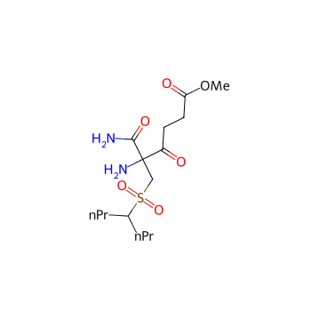 CCCC(CCC)S(=O)(=O)CC(N)(C(N)=O)C(=O)CCC(=O)OC